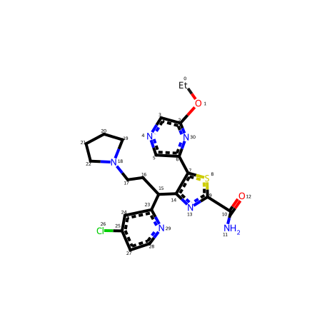 CCOc1cncc(-c2sc(C(N)=O)nc2C(CCN2CCCC2)c2cc(Cl)ccn2)n1